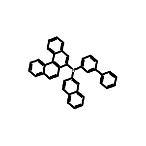 c1ccc(-c2cccc(N(c3ccc4ccccc4c3)c3cc4ccccc4c4c3ccc3ccccc34)c2)cc1